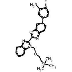 C[Si](C)(C)CCOCn1c(-c2nc3ccc(-c4ccc(F)c(N)c4)cc3o2)nc2ccccc21